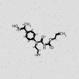 C=CCOC(=O)NC(=O)N(CCC(C)C)c1ccc(C(C)=NO)cc1